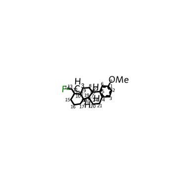 COc1[c]cc2c(c1)[C@H]1CC[C@]3(C)C(CF)CCC[C@H]3[C@@H]1CC2